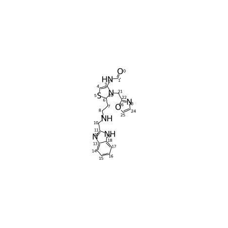 O=[C]NC1=CSC(CCNCc2nc3ccccc3[nH]2)N1Cc1ncco1